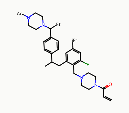 C=CC(=O)N1CCN(Cc2c(F)cc(C(C)C)cc2CC(C)c2ccc(C(CC)N3CCN(C(C)=O)CC3)cc2)CC1